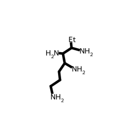 CCC(N)C(N)C(N)CCCN